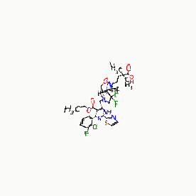 CCOC(=O)C1=C(CN2CC(F)(F)[C@@H]3[C@H]2CON3CCC(C)(C)C(=O)O)NC(c2nccs2)=NC1c1cccc(F)c1Cl